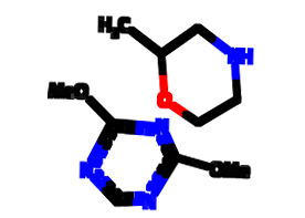 CC1CNCCO1.COc1ncnc(OC)n1